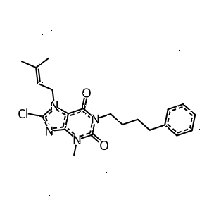 CC(C)=CCn1c(Cl)nc2c1c(=O)n(CCCCc1ccccc1)c(=O)n2C